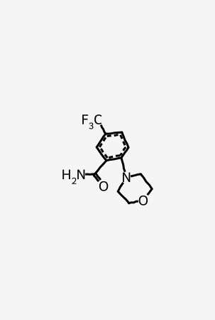 NC(=O)c1cc(C(F)(F)F)ccc1N1CCOCC1